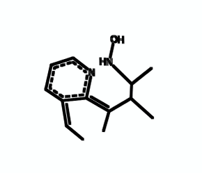 C/C=c1/cccn/c1=C(/C)C(C)C(C)NO